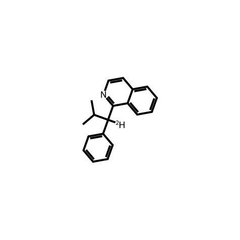 [2H]C(c1ccccc1)(c1nccc2ccccc12)C(C)C